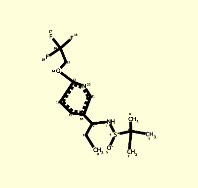 CCC(N[S+]([O-])C(C)(C)C)c1ccc(OCC(F)(F)F)nc1